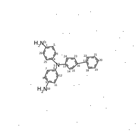 Nc1ccc(N(c2ccc(N)cc2)c2ccc(-c3ccccc3)cc2)cc1